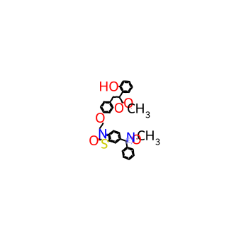 CO/N=C(\c1ccccc1)c1ccc2c(c1)sc(=O)n2CCOc1ccc(CC(C(=O)OC)c2ccccc2O)cc1